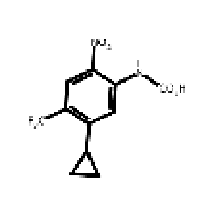 O=C(O)Nc1cc(C2CC2)c(C(F)(F)F)cc1[N+](=O)[O-]